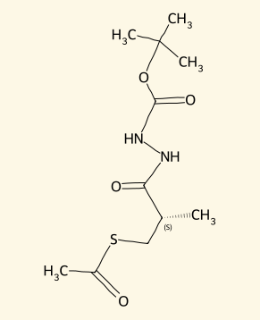 CC(=O)SC[C@@H](C)C(=O)NNC(=O)OC(C)(C)C